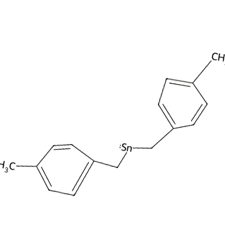 Cc1ccc([CH2][Sn][CH2]c2ccc(C)cc2)cc1